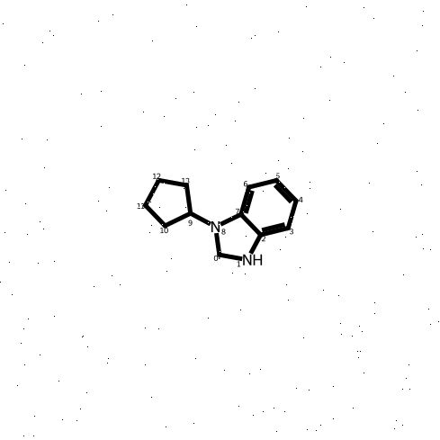 [CH]1Nc2ccccc2N1C1CCCC1